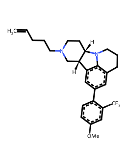 C=CCCCN1CC[C@H]2[C@@H](C1)c1cc(-c3ccc(OC)cc3C(F)(F)F)cc3c1N2CCC3